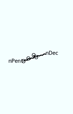 CCCCCCCCCCCCCCCCOC(=O)CCCOCCOCCCCC